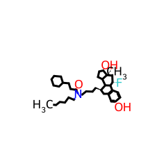 CCCCCCN(CCCC[C@@H]1Cc2cc(O)ccc2C2C1C1CC[C@H](O)[C@@]1(C)C[C@@H]2F)C(=O)CCC1CCCCC1